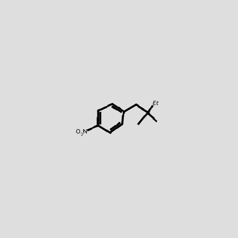 CCC(C)(C)Cc1ccc([N+](=O)[O-])cc1